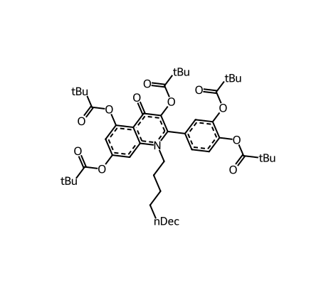 CCCCCCCCCCCCCCn1c(-c2ccc(OC(=O)C(C)(C)C)c(OC(=O)C(C)(C)C)c2)c(OC(=O)C(C)(C)C)c(=O)c2c(OC(=O)C(C)(C)C)cc(OC(=O)C(C)(C)C)cc21